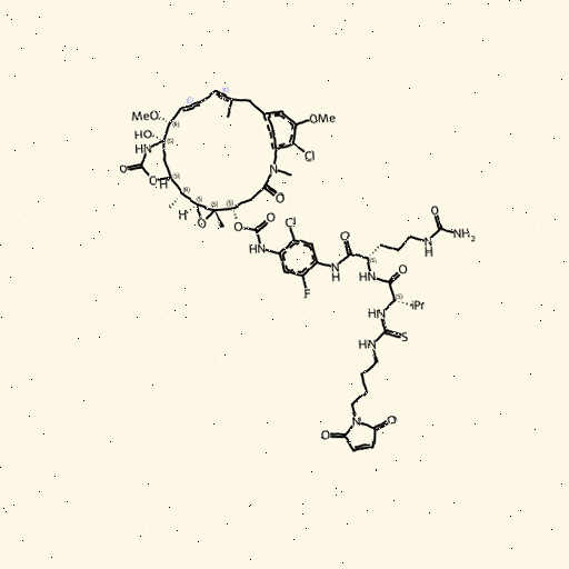 COc1cc2cc(c1Cl)N(C)C(=O)C[C@H](OC(=O)Nc1cc(F)c(NC(=O)[C@H](CCCNC(N)=O)NC(=O)[C@@H](NC(=S)NCCCCN3C(=O)C=CC3=O)C(C)C)cc1Cl)[C@]1(C)O[C@H]1[C@H](C)[C@@H]1C[C@@](O)(NC(=O)O1)[C@H](OC)/C=C/C=C(\C)C2